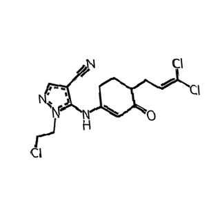 N#Cc1cnn(CCCl)c1NC1=CC(=O)C(CC=C(Cl)Cl)CC1